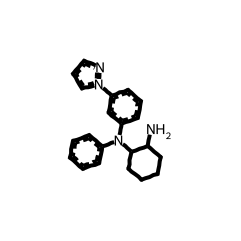 NC1CCCCC1N(c1ccccc1)c1cccc(-n2cccn2)c1